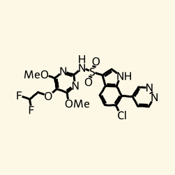 COc1nc(NS(=O)(=O)c2c[nH]c3c(-c4ccnnc4)c(Cl)ccc23)nc(OC)c1OCC(F)F